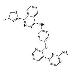 CC1C=C(c2nnc(Nc3ccc(Oc4ncccc4-c4ccnc(N)n4)cc3)c3ccccc23)SC1